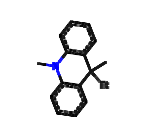 CCC1(C)c2ccccc2N(C)c2ccccc21